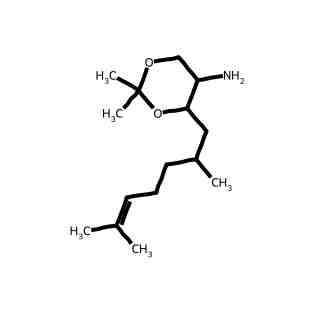 CC(C)=CCCC(C)CC1OC(C)(C)OCC1N